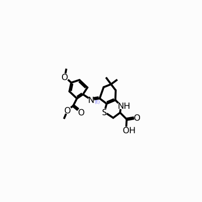 COC(=O)c1cc(OC)ccc1/N=C1\CC(C)(C)CC2=C1SCC(C(=O)O)N2